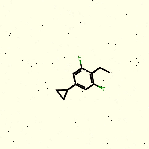 [CH2]Cc1c(F)cc(C2CC2)cc1F